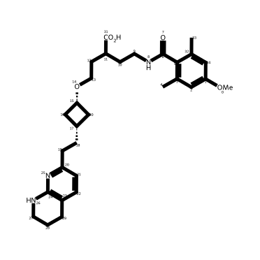 COc1cc(C)c(C(=O)NCCC(CCO[C@H]2C[C@@H](CCc3ccc4c(n3)NCCC4)C2)C(=O)O)c(C)c1